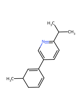 CC1C=C(c2ccc(C(C)C)nc2)C=CC1